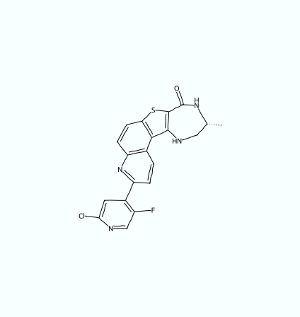 C[C@@H]1CNc2c(sc3ccc4nc(-c5cc(Cl)ncc5F)ccc4c23)C(=O)N1